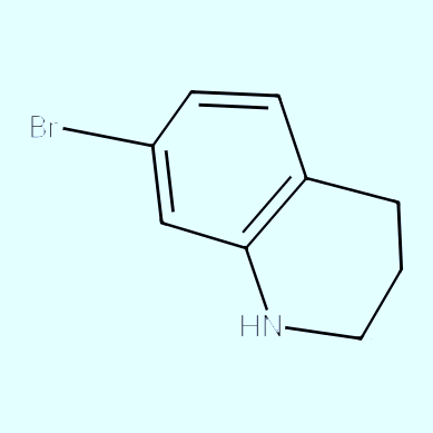 Brc1ccc2c(c1)N[CH]CC2